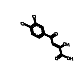 O=C(O)C(O)=CC(=O)c1ccc(Cl)c(Cl)c1